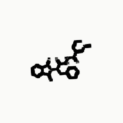 C=N/C=C(\C=C/C)C(=O)NNC(=O)C(Cc1ccccc1)N1C(=O)c2ccccc2C1=O